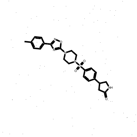 Cc1ccc(-c2noc(N3CCN(S(=O)(=O)c4ccc(C5CNC(=O)C5)cc4)CC3)n2)cc1